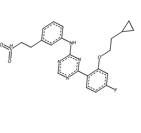 O=[SH](=O)CCc1cccc(Nc2ncnc(-c3ccc(F)cc3OCCC3CC3)n2)c1